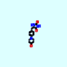 O=C1CCN(c2ccc(CC3NC(=O)NC3=O)cc2)CC1